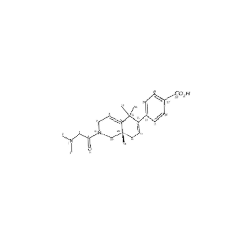 CN(C)CC(=O)N1CC=C2C(C)(C)C(c3ccc(C(=O)O)cc3)=CC[C@]2(C)C1